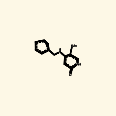 CC(=O)Oc1c[nH]c(=O)cc1NCc1ccccc1